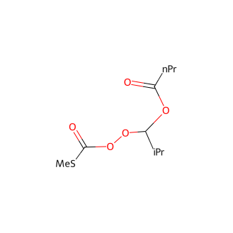 CCCC(=O)OC(OOC(=O)SC)C(C)C